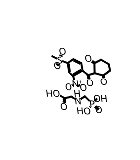 CS(=O)(=O)c1ccc(C(=O)C2C(=O)CCCC2=O)c([N+](=O)[O-])c1.O=C(O)CNCP(=O)(O)O